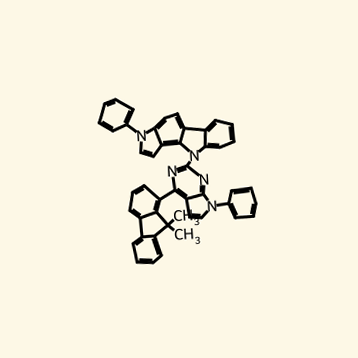 CC1(C)c2ccccc2-c2cccc(-c3nc(-n4c5ccccc5c5ccc6c(ccn6-c6ccccc6)c54)nc4c3ccn4-c3ccccc3)c21